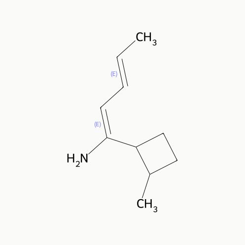 C/C=C/C=C(/N)C1CCC1C